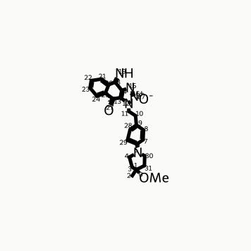 COC1(C)CCN(c2ccc(CCn3c4c(n[n+]3[O-])C(=N)c3ccccc3C4=O)cc2)CC1